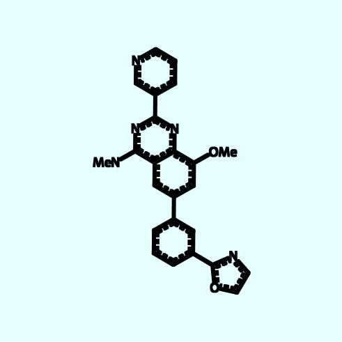 CNc1nc(-c2cccnc2)nc2c(OC)cc(-c3cccc(-c4ncco4)c3)cc12